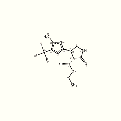 CCOC(=O)[C@H]1C(=O)NC[C@@H]1c1cc(C(F)(F)F)n(C)n1